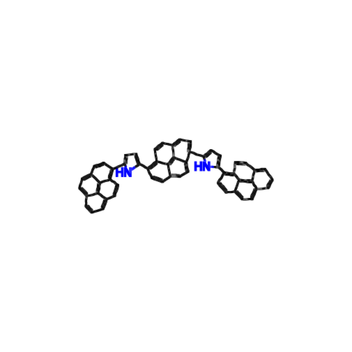 c1cc2ccc3ccc(-c4ccc(-c5ccc6ccc7c(-c8ccc(-c9ccc%10ccc%11cccc%12ccc9c%10c%11%12)[nH]8)ccc8ccc5c6c87)[nH]4)c4ccc(c1)c2c34